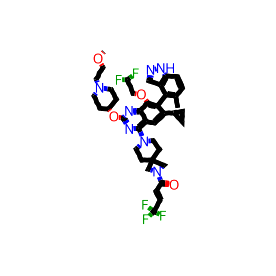 COCCN1CCC(Oc2nc(N3CCC4(CC3)CN(C(=O)/C=C/C(F)(F)F)C4)c3cc(C4CC4)c(-c4c(C)ccc5[nH]ncc45)c(OCC(F)F)c3n2)CC1